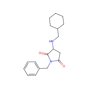 O=C1CC(NCC2CCCCC2)C(=O)N1Cc1ccccc1